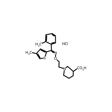 Cc1csc(/C(=N\OCCN2CCCC(C(=O)O)C2)c2ccccc2C)c1.Cl